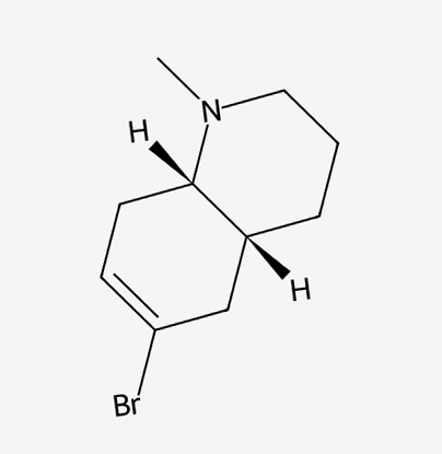 CN1CCC[C@@H]2CC(Br)=CC[C@@H]21